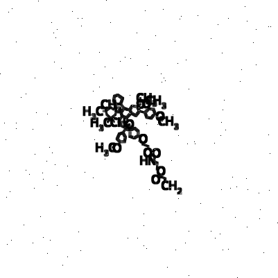 C=CC(=O)OCCNC(=O)OCCOc1ccc(C2(c3ccc(OC)cc3)C=Cc3c4c(c5cc(OC)c(-c6ccc(OC)cc6OC)cc5c3O2)-c2ccccc2C42CC(C)(C)CC(C)(C)C2)cc1